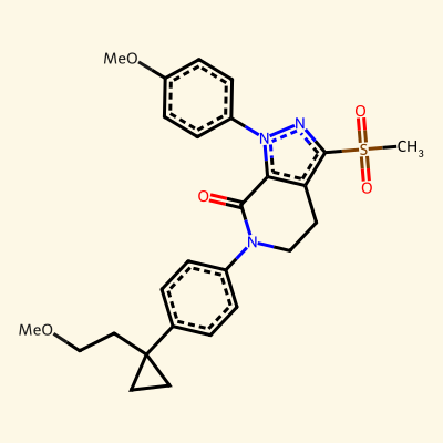 COCCC1(c2ccc(N3CCc4c(S(C)(=O)=O)nn(-c5ccc(OC)cc5)c4C3=O)cc2)CC1